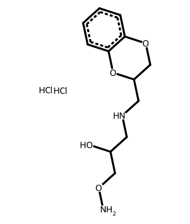 Cl.Cl.NOCC(O)CNCC1COc2ccccc2O1